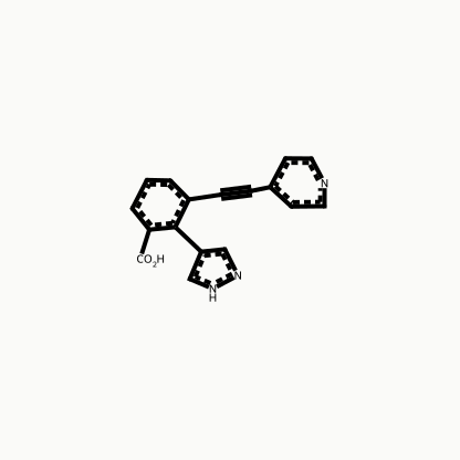 O=C(O)c1cccc(C#Cc2ccncc2)c1-c1cn[nH]c1